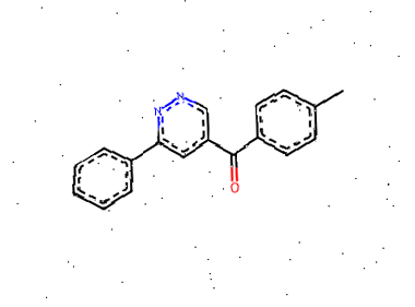 Cc1ccc(C(=O)c2cnnc(-c3ccccc3)c2)cc1